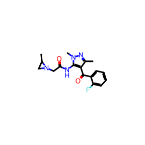 Cc1nn(C)c(NC(=O)CN2CC2C)c1C(=O)c1ccccc1F